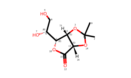 CC1(C)O[C@H]2[C@@H]([C@H](O)CO)OC(=O)[C@H]2O1